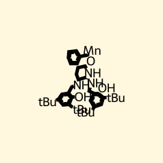 CC(C)(C)c1cc(CN[C@H]2NCCC[C@@H]2NCc2cc(C(C)(C)C)cc(C(C)(C)C)c2O)c(O)c(C(C)(C)C)c1.O=[C]([Mn])c1ccccc1